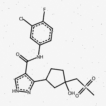 CS(=O)(=O)CC1(O)CCC(c2n[nH][c]c2C(=O)Nc2ccc(F)c(Cl)c2)C1